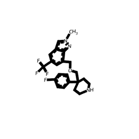 Cn1cc2cc(C(F)(F)F)cc(COCC3(c4ccc(F)cc4)CCNCC3)c2n1